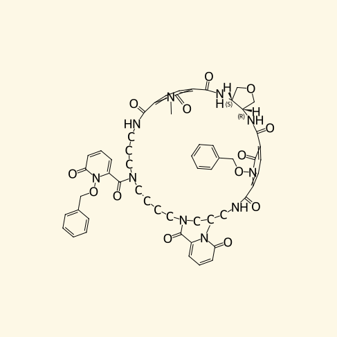 Cn1c(C(=O)N2CCCCN(C(=O)c3cccc(=O)n3OCc3ccccc3)CCCNC(=O)c3ccc(c(=O)n3C)C(=O)N[C@@H]3COC[C@@H]3NC(=O)c3ccc(n(OCc4ccccc4)c3=O)C(=O)NCCC2)cccc1=O